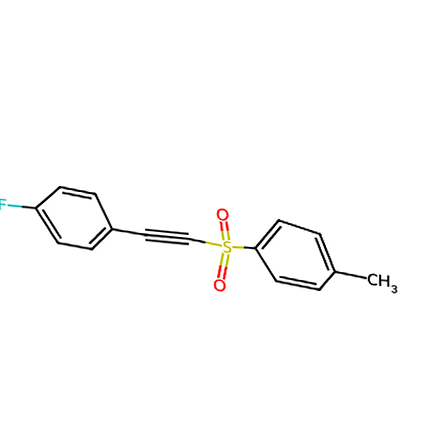 Cc1ccc(S(=O)(=O)C#Cc2ccc(F)cc2)cc1